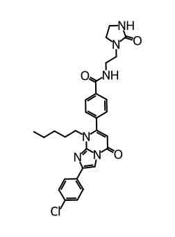 CCCCCn1c(-c2ccc(C(=O)NCCN3CCNC3=O)cc2)cc(=O)n2cc(-c3ccc(Cl)cc3)nc12